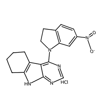 Cl.O=[N+]([O-])c1ccc2c(c1)N(c1ncnc3[nH]c4c(c13)CCCC4)CC2